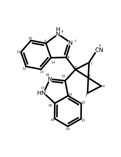 N#CC1C2(CC2)C1(c1n[nH]c2ccccc12)c1n[nH]c2ccccc12